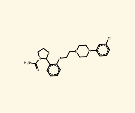 NC(=O)N1CCSC1c1ccccc1OCCN1CCN(c2cccc(Cl)c2)CC1